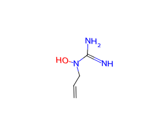 C=CCN(O)C(=N)N